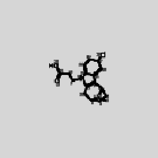 CN1C2CCC1c1c(n(CCC(=O)O)c3c1=CC(Cl)CC=3)C2